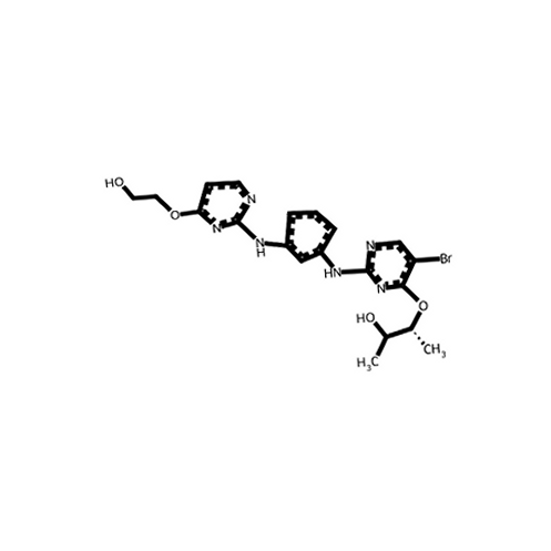 CC(O)[C@@H](C)Oc1nc(Nc2cccc(Nc3nccc(OCCO)n3)c2)ncc1Br